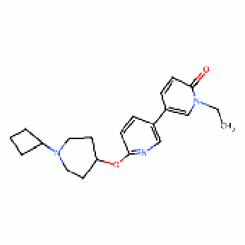 CCn1cc(-c2ccc(OC3CCN(C4CCC4)CC3)nc2)ccc1=O